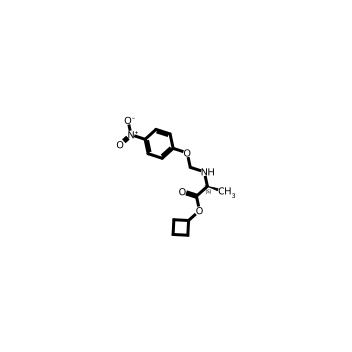 C[C@H](NCOc1ccc([N+](=O)[O-])cc1)C(=O)OC1CCC1